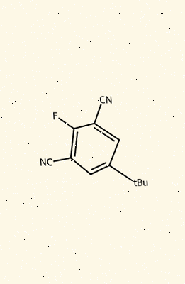 CC(C)(C)c1cc(C#N)c(F)c(C#N)c1